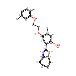 Cc1ccc(C)c(OCCOc2cc(-c3nc4ccccc4s3)c(O)cc2C)c1